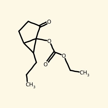 CCCC1C2CCC(=O)C12OC(=O)OCC